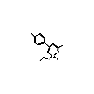 CCOP1(=O)C=C(c2ccc(C)cc2)C=C(C)O1